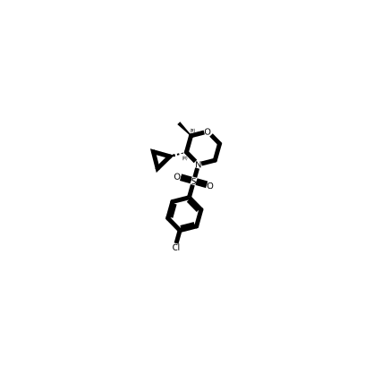 C[C@H]1OCCN(S(=O)(=O)c2ccc(Cl)cc2)[C@@H]1C1CC1